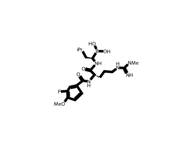 CNC(=N)NCCC[C@H](NC(=O)c1ccc(OC)c(F)c1)C(=O)N[C@@H](CC(C)C)B(O)O